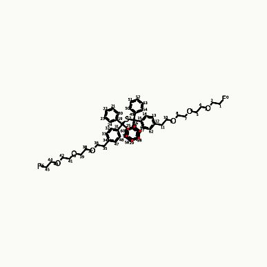 FCCOCCOCCOCCc1ccc(C(SC(c2ccccc2)(c2ccccc2)c2ccc(CCOCCOCCOCCF)cc2)(c2ccccc2)c2ccccc2)cc1